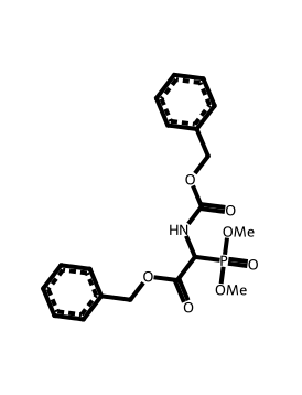 COP(=O)(OC)C(NC(=O)OCc1ccccc1)C(=O)OCc1ccccc1